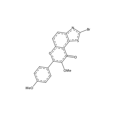 COc1ccc(-c2oc3ccc4nc(Br)sc4c3c(=O)c2OC)cc1